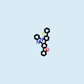 c1ccc2c(c1)nc1c3cc4c(cc3c3ccc5c6ccccc6sc5c3n21)oc1ccccc14